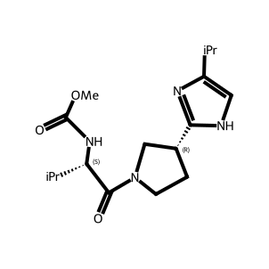 COC(=O)N[C@H](C(=O)N1CC[C@@H](c2nc(C(C)C)c[nH]2)C1)C(C)C